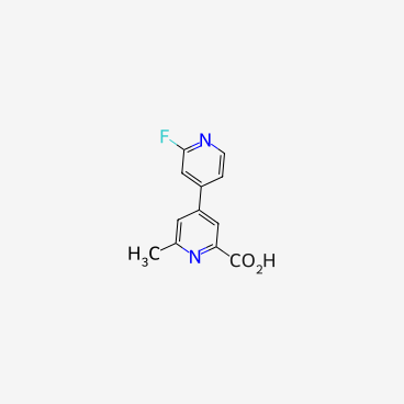 Cc1cc(-c2ccnc(F)c2)cc(C(=O)O)n1